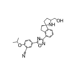 CC(C)Oc1ccc(-c2nc(-c3cccc4c3CC[C@]43CCC(CO)N3)no2)cc1C#N